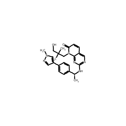 C[C@H](Nc1ncc2ccc(=O)n(CC(C)(C)CO)c2n1)c1ccc(-c2cnn(C)c2)cc1